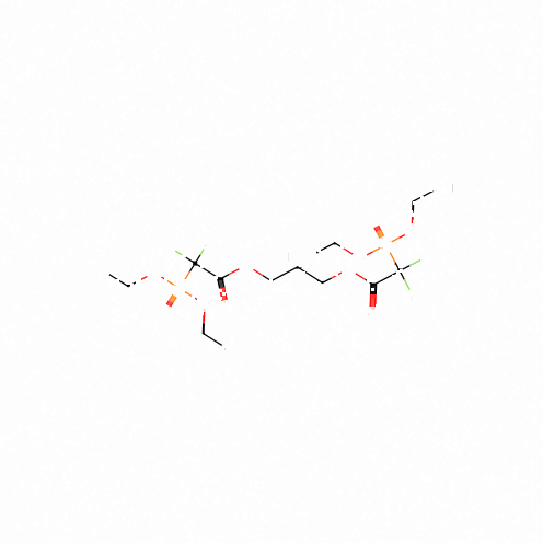 CCOP(=O)(OCC)C(F)(F)C(=O)OCCCOC(=O)C(F)(F)P(=O)(OCC)OCC